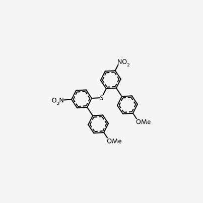 COc1ccc(-c2cc([N+](=O)[O-])ccc2Sc2ccc([N+](=O)[O-])cc2-c2ccc(OC)cc2)cc1